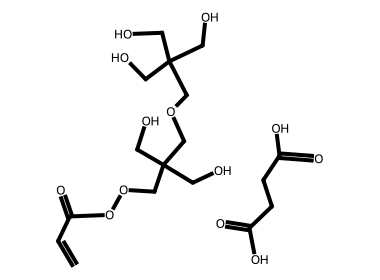 C=CC(=O)OOCC(CO)(CO)COCC(CO)(CO)CO.O=C(O)CCC(=O)O